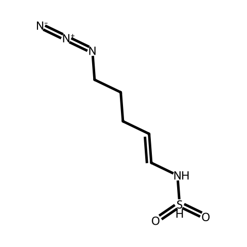 [N-]=[N+]=NCCCC=CN[SH](=O)=O